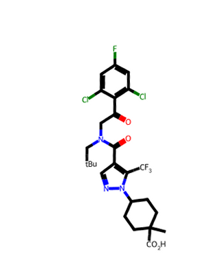 CC(C)(C)CN(CC(=O)c1c(Cl)cc(F)cc1Cl)C(=O)c1cnn(C2CCC(C)(C(=O)O)CC2)c1C(F)(F)F